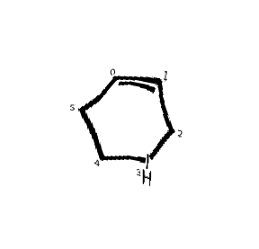 C1=CC[IH]CC1